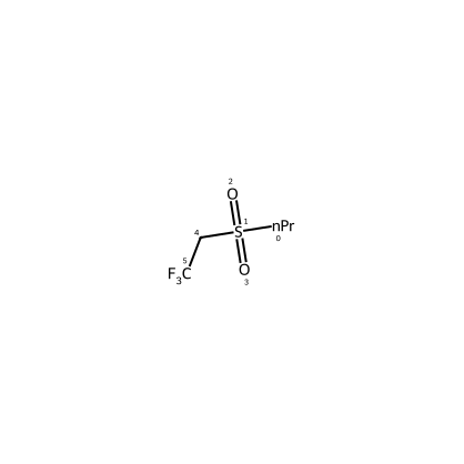 CCCS(=O)(=O)CC(F)(F)F